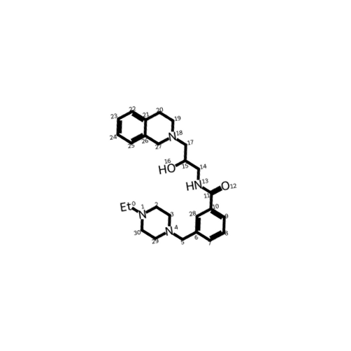 CCN1CCN(Cc2cccc(C(=O)NCC(O)CN3CCc4ccccc4C3)c2)CC1